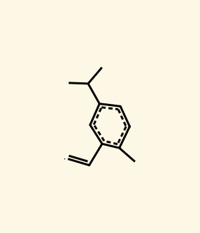 [CH]=Cc1cc(C(C)C)ccc1C